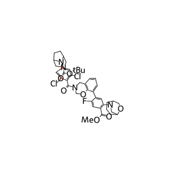 COC(=O)c1cc(F)c(-c2cccc3c2OCN(C(=O)c2c(Cl)cc(N4C5CCC4CN(C(=O)OC(C)(C)C)C5)cc2Cl)C3)cc1N1CC2CCCC1CO2